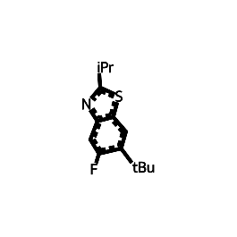 CC(C)c1nc2cc(F)c(C(C)(C)C)cc2s1